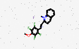 COc1c(F)c(F)c(/C=C/c2ccc3ccccc3[n+]2C)c(F)c1F.[I-]